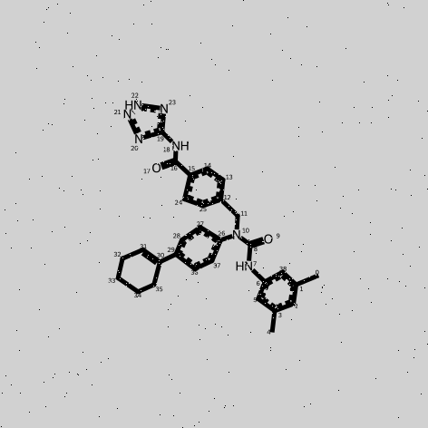 Cc1cc(C)cc(NC(=O)N(Cc2ccc(C(=O)Nc3nn[nH]n3)cc2)c2ccc(C3=CCCCC3)cc2)c1